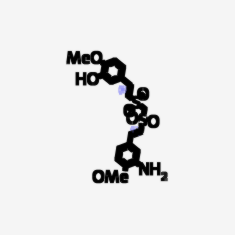 COc1ccc(/C=C/S(=O)(=O)CS(=O)(=O)/C=C/c2ccc(OC)c(O)c2)cc1N